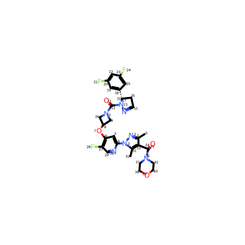 Cc1nn(-c2cc(OC3CN(C(=O)N4N=CC[C@H]4c4cc(F)cc(F)c4)C3)c(F)cn2)c(C)c1C(=O)N1CCOCC1